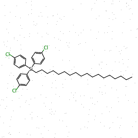 CCCCCCCCCCCCCCCCCC[Si](c1ccc(Cl)cc1)(c1ccc(Cl)cc1)c1ccc(Cl)cc1